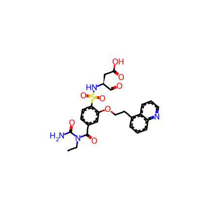 CCN(C(N)=O)C(=O)c1ccc(S(=O)(=O)N[C@H](C=O)CC(=O)O)c(OCCc2cccc3ncccc23)c1